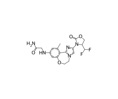 Cc1cc(NCC(N)=O)cc2c1-c1nc(N3C(=O)OCC3C(F)F)cn1CCO2